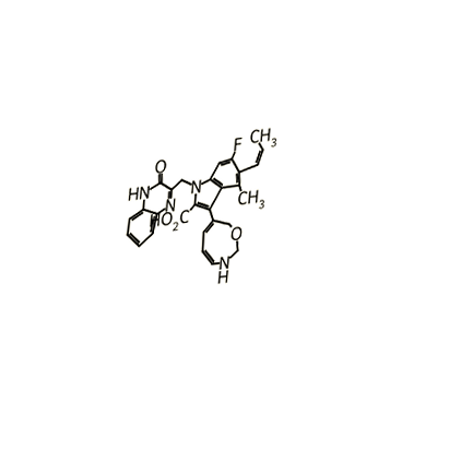 C/C=C\c1c(F)cc2c(c1C)c(/C1=C/C=C\NCOC1)c(C(=O)O)n2Cc1nc2ccccc2[nH]c1=O